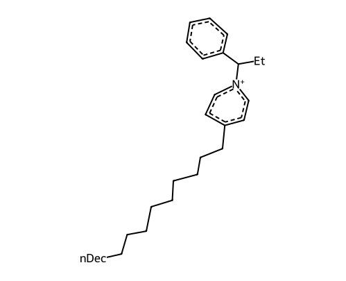 CCCCCCCCCCCCCCCCCCCc1cc[n+](C(CC)c2ccccc2)cc1